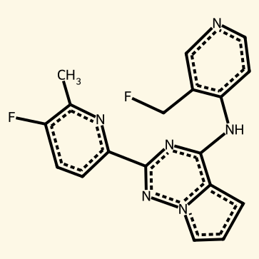 Cc1nc(-c2nc(Nc3ccncc3CF)c3cccn3n2)ccc1F